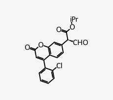 CC(C)OC(=O)[C@@H](C=O)c1ccc2c(-c3ccccc3Cl)cc(=O)oc2c1